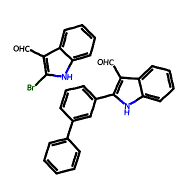 O=Cc1c(-c2cccc(-c3ccccc3)c2)[nH]c2ccccc12.O=Cc1c(Br)[nH]c2ccccc12